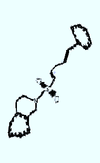 O=S(=O)(/C=C/CCc1ccccc1)N1CCc2ccccc2C1